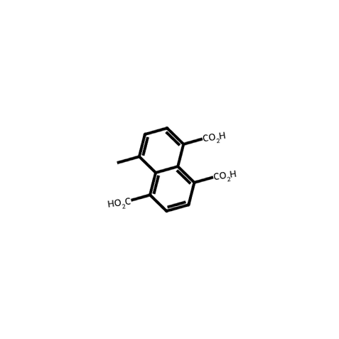 Cc1ccc(C(=O)O)c2c(C(=O)O)ccc(C(=O)O)c12